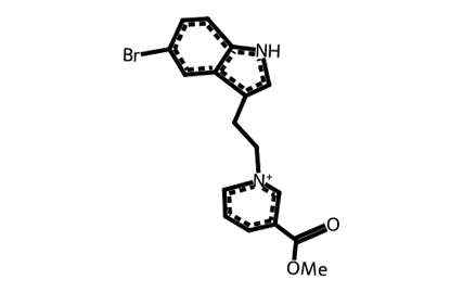 COC(=O)c1ccc[n+](CCc2c[nH]c3ccc(Br)cc23)c1